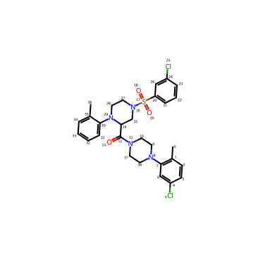 Cc1ccc(Cl)cc1N1CCN(C(=O)C2CN(S(=O)(=O)c3cccc(Cl)c3)CCN2c2ccccc2C)CC1